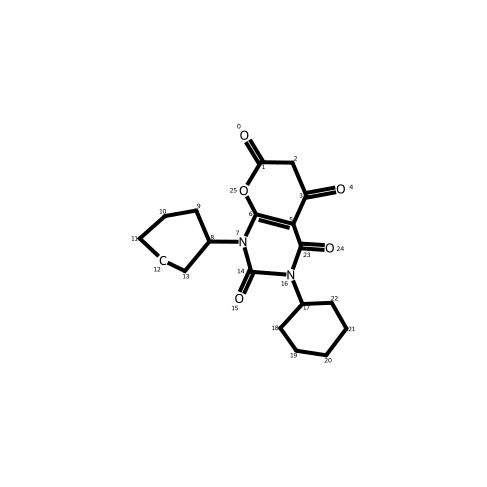 O=C1CC(=O)c2c(n(C3CCCCC3)c(=O)n(C3CCCCC3)c2=O)O1